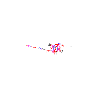 CCOC(=O)OC[C@]12SS[C@@]3(C[C@]4([C@]56C[C@@]78SS[C@@](COC(=O)OCCCCC(=O)NCCOCCOCCNC(=O)OC(C)(C)C)(C(=O)N7[C@H]5N(S(=O)(=O)c5ccccc5)c5ccccc56)N(C)C8=O)c5ccccc5N(S(=O)(=O)c5ccccc5)[C@@H]4N3C1=O)C(=O)N2C